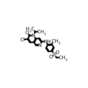 CCS(=O)(=O)c1ccc(Nc2cc3c(cn2)cc(Cl)c(=O)n3C(C)C)c(C)c1